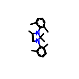 CC1=CN(c2c(C)cccc2C)C(C)(C)N1c1c(C)cccc1C